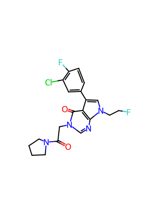 O=C(Cn1cnc2c(c(-c3ccc(F)c(Cl)c3)cn2CCF)c1=O)N1CCCC1